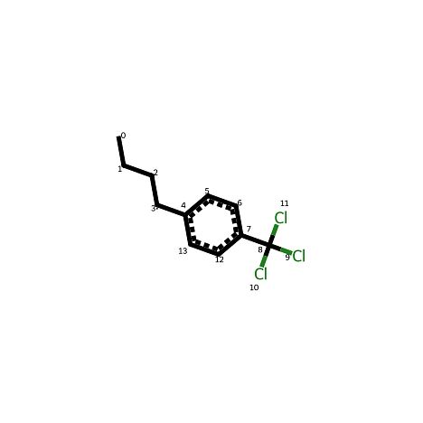 CCC[CH]c1ccc(C(Cl)(Cl)Cl)cc1